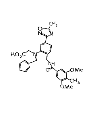 COc1cc(C(=O)NCc2ccc(-c3noc(C)n3)cc2N(CC(=O)O)Cc2ccccc2)cc(OC)c1C